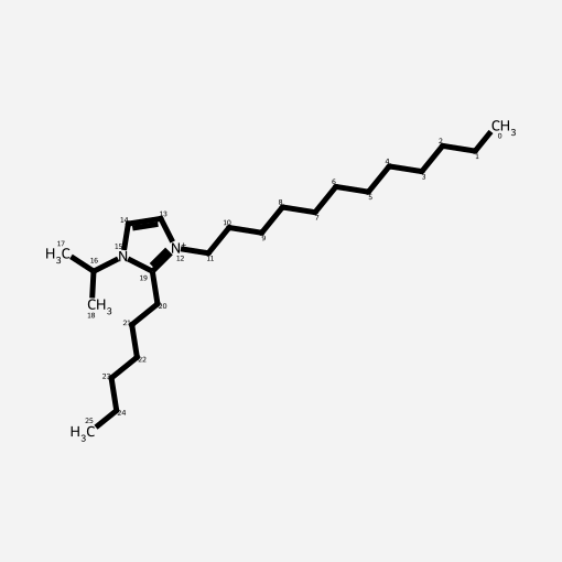 CCCCCCCCCCCC[n+]1ccn(C(C)C)c1CCCCCC